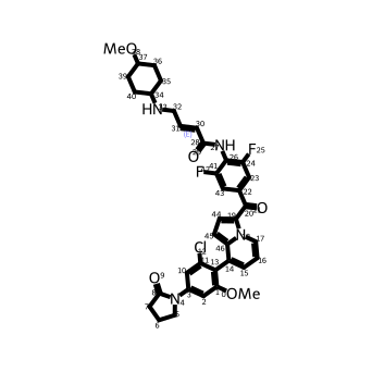 COc1cc(N2CCCC2=O)cc(Cl)c1-c1cccn2c(C(=O)c3cc(F)c(NC(=O)/C=C/CNC4CCC(OC)CC4)c(F)c3)ccc12